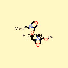 COCCN1CCOCC1COC(C)(C)CC1COCC(COC(C)C)N1C